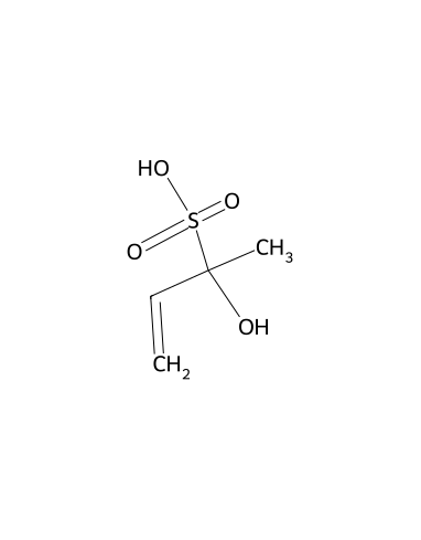 C=CC(C)(O)S(=O)(=O)O